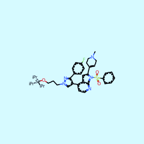 CC(C)[Si](OCCCn1cc(-c2ccnc3c2cc(C2=CCN(C)CC2)n3S(=O)(=O)c2ccccc2)c(-c2ccc(F)cc2)n1)(C(C)C)C(C)C